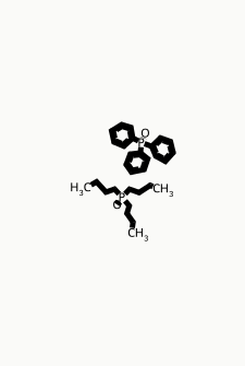 CCCCP(=O)(CCCC)CCCC.O=P(c1ccccc1)(c1ccccc1)c1ccccc1